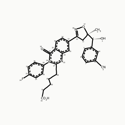 C[C@]1([C@H](O)c2cccc(C#N)c2)CC(c2ccc3c(=O)n(-c4ccc(F)cc4)c(CCCCC(=O)O)nc3c2)=NO1